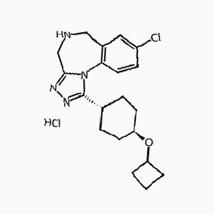 Cl.Clc1ccc2c(c1)CNCc1nnc([C@H]3CC[C@H](OC4CCC4)CC3)n1-2